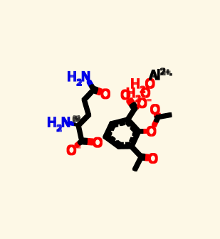 CC(=O)Oc1c(C(C)=O)cccc1C(=O)[O-].NC(=O)CC[C@H](N)C(=O)[O-].O.O.[Al+2]